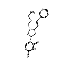 NSOC[C@H]1O[C@@H](n2ccc(=O)[nH]c2=O)C[C@@H]1/C=C/c1ccccc1